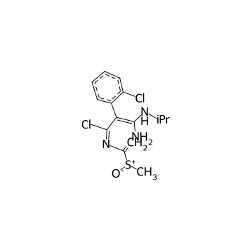 C=C(/N=C(Cl)\C(=C(/N)NC(C)C)c1ccccc1Cl)[S+](C)[O-]